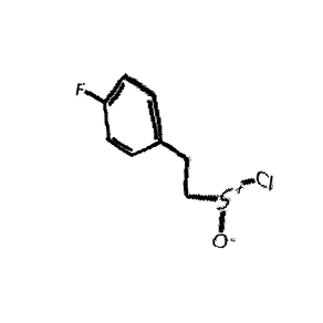 [O-][S+](Cl)CCc1ccc(F)cc1